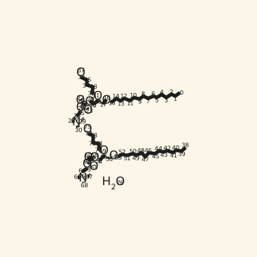 CCCCCCCCCCCCCCCCOC[C@@H](COP(=O)([O-])OCC[N+](C)(C)C)OCCCCC=O.CCCCCCCCCCCCCCCCOC[C@@H](COP(=O)([O-])OCC[N+](C)(C)C)OCCCCC=O.O